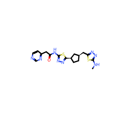 CNc1nnc(C[C@H]2CC[C@@H](c3nnc(NC(=O)Cc4ccncn4)s3)C2)s1